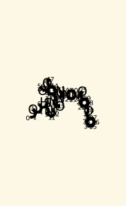 CCC(=O)CC(C)C(=S)N1CCC[C@@H]1C(=O)Nc1nc(N2CCN(C(=O)c3ccc(OCc4ccccc4)cc3)CC2)nc2cc(OC)c(OC)cc12